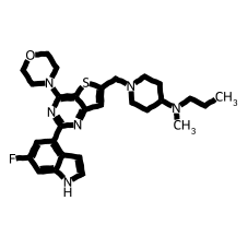 CCCN(C)C1CCN(Cc2cc3nc(-c4cc(F)cc5[nH]ccc45)nc(N4CCOCC4)c3s2)CC1